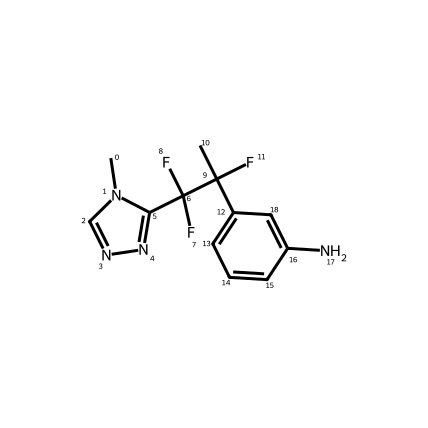 Cn1cnnc1C(F)(F)C(C)(F)c1cccc(N)c1